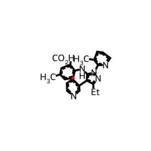 CCc1nn(-c2ncccc2C)c(Nc2ccc(C)cc2C(=O)O)c1-c1cccnc1